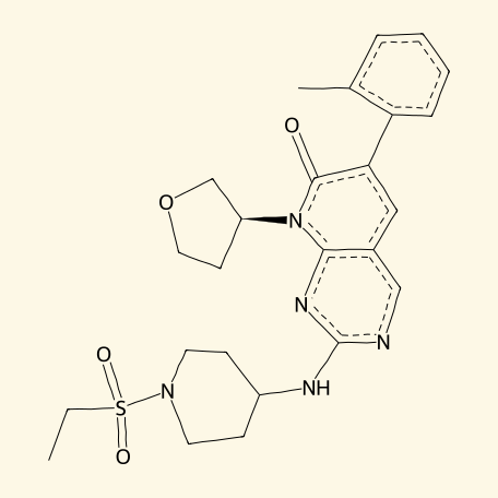 CCS(=O)(=O)N1CCC(Nc2ncc3cc(-c4ccccc4C)c(=O)n([C@H]4CCOC4)c3n2)CC1